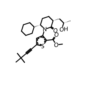 COC(=O)c1sc(C#CC(C)(C)C)cc1N1C(=O)[C@@H](C[C@H](C)O)CC[C@H]1C1CCCCC1